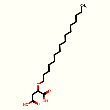 CCCCCCCCCCCCCCCCOC(CC(=O)O)C(=O)O